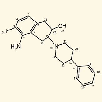 Nc1c(I)ccc2c1CC(N1CCC(c3ccccc3)CC1)C(O)C2